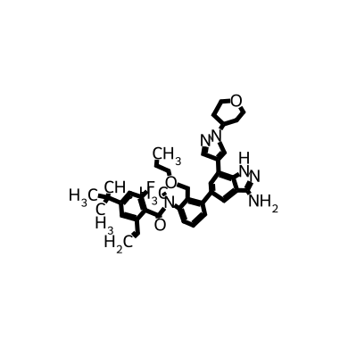 C=Cc1cc(C(C)(C)C)cc(F)c1C(=O)N(C)c1cccc(-c2cc(-c3cnn(C4CCOCC4)c3)c3[nH]nc(N)c3c2)c1COCCC